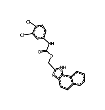 O=C(Nc1ccc(Cl)c(Cl)c1)OCc1nc2ccc3ccccc3c2[nH]1